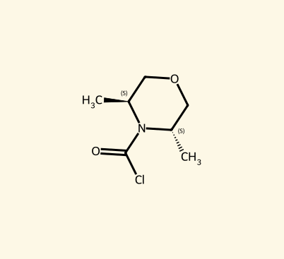 C[C@H]1COC[C@H](C)N1C(=O)Cl